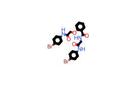 O=C(CNC(=O)c1ccccc1OCC(=O)Nc1ccc(Br)cc1)Nc1ccc(Br)cc1